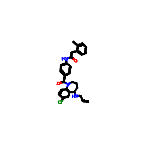 C=CCNC1CCCN(C(=O)c2ccc(NC(=O)Cc3ccccc3C)cc2)c2ccc(Cl)cc21